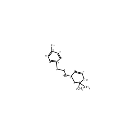 CC1(C)CC(NCCc2ccc(F)cc2)C=CO1